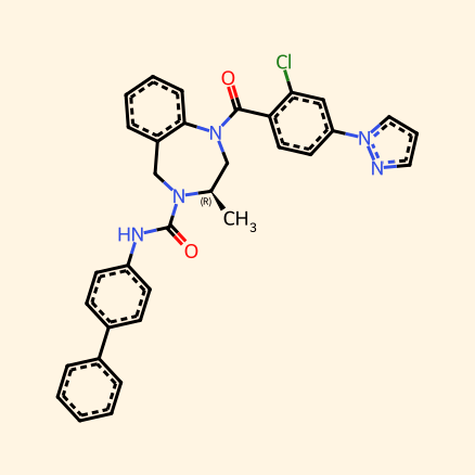 C[C@@H]1CN(C(=O)c2ccc(-n3cccn3)cc2Cl)c2ccccc2CN1C(=O)Nc1ccc(-c2ccccc2)cc1